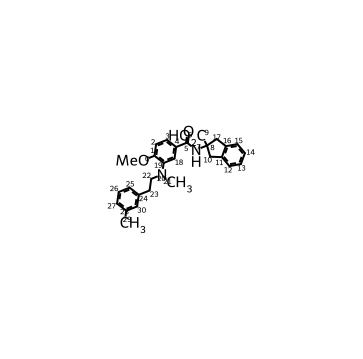 COc1ccc(C(=O)NC2(C(=O)O)Cc3ccccc3C2)cc1N(C)CCc1cccc(C)c1